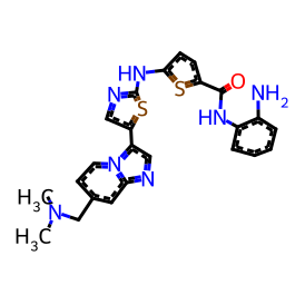 CN(C)Cc1ccn2c(-c3cnc(Nc4ccc(C(=O)Nc5ccccc5N)s4)s3)cnc2c1